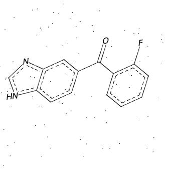 O=C(c1ccc2[nH][c]nc2c1)c1ccccc1F